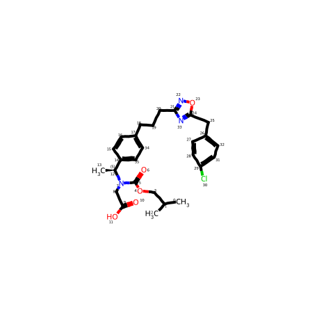 CC(C)COC(=O)N(CC(=O)O)[C@@H](C)c1ccc(CCCc2noc(Cc3ccc(Cl)cc3)n2)cc1